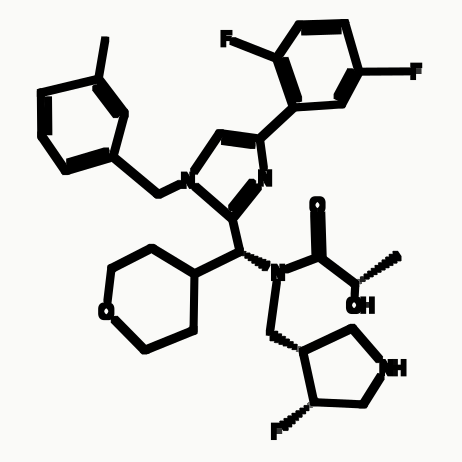 Cc1cccc(Cn2cc(-c3cc(F)ccc3F)nc2[C@@H](C2CCOCC2)N(C[C@@H]2CNC[C@@H]2F)C(=O)[C@H](C)O)c1